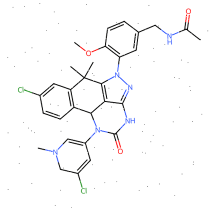 COc1ccc(CNC(C)=O)cc1-n1nc2c3c1C(C)(C)c1cc(Cl)ccc1C3N(C1=CN(C)CC(Cl)=C1)C(=O)N2